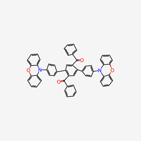 O=C(c1ccccc1)c1cc(-c2ccc(N3c4ccccc4Oc4ccccc43)cc2)c(C(=O)c2ccccc2)cc1-c1ccc(N2c3ccccc3Oc3ccccc32)cc1